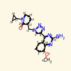 COc1cccc2c(-c3cn(Cc4cccn(C5CC5)c4=O)nn3)nc(N)nc12